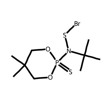 CC1(C)COP(=S)(N(SBr)C(C)(C)C)OC1